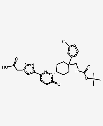 CC(C)(C)OC(=O)NC[C@]1(c2cccc(Cl)c2)CC[C@@H](n2nc(-c3cn(CC(=O)O)nn3)ccc2=O)CC1